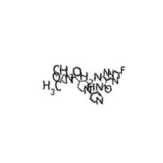 COC1(C)CN(C(=O)C2CCN(c3ccncc3NC(=O)c3c(N)nn4cc(F)cnc34)CC2)C1